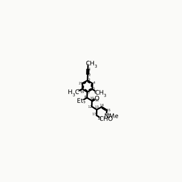 CC#Cc1cc(C)c(C(CC)C(=O)CC(/C=C\NC)CC=O)c(C)c1